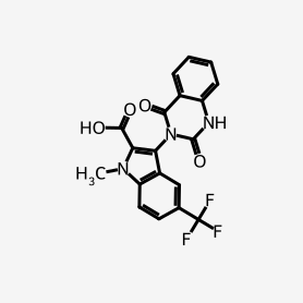 Cn1c(C(=O)O)c(-n2c(=O)[nH]c3ccccc3c2=O)c2cc(C(F)(F)F)ccc21